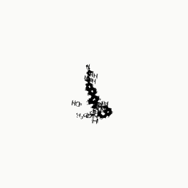 COC(=O)N[C@H]1CCc2cccc3c2N(C1=O)[C@H](c1ncc(-c2ccc(-c4ccc5cc(-c6cnc([C@@H]7C[C@H](C#N)CN7)[nH]6)ccc5c4)cc2)[nH]1)C3.Cl